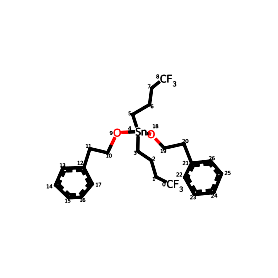 FC(F)(F)CC[CH2][Sn]([CH2]CCC(F)(F)F)([O]CCc1ccccc1)[O]CCc1ccccc1